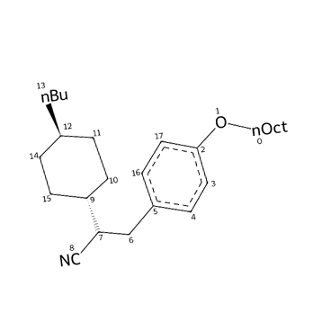 CCCCCCCCOc1ccc(CC(C#N)[C@H]2CC[C@H](CCCC)CC2)cc1